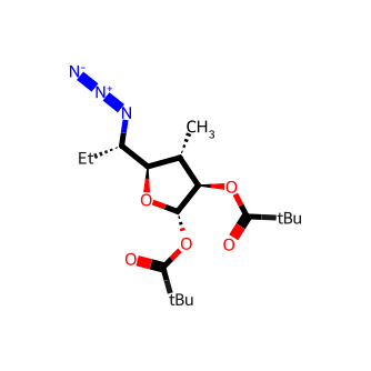 CC[C@H](N=[N+]=[N-])[C@@H]1O[C@@H](OC(=O)C(C)(C)C)[C@H](OC(=O)C(C)(C)C)[C@H]1C